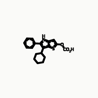 O=C(O)Oc1cc2[nH]c(-c3ccccc3)c(C3CCCCC3)c2s1